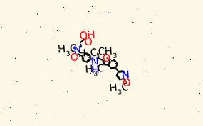 COc1ccc(-c2ccc3oc(C(Nc4ccc(C(=O)N(C)CCC(=O)O)cc4)C(C)C)c(C)c3c2)cn1